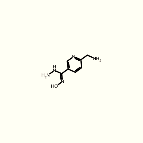 NCc1ccc(/C(=N/O)NN)cn1